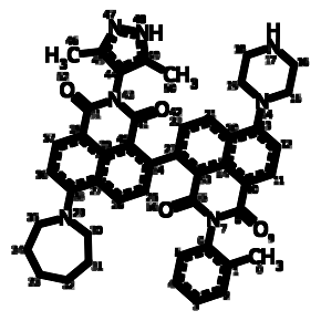 Cc1ccccc1N1C(=O)c2ccc(N3CCNCC3)c3ccc(-c4ccc5c(N6CCCCCC6)ccc6c5c4C(=O)N(c4c(C)n[nH]c4C)C6=O)c(c23)C1=O